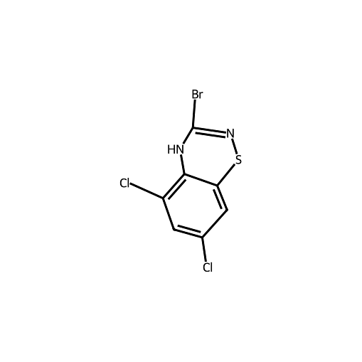 Clc1cc(Cl)c2c(c1)SN=C(Br)N2